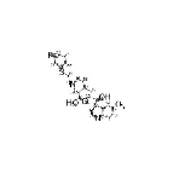 COc1ccc2nccc([C@H](O)CC[C@@H]3CCN(CCSc4cccc(F)c4)C[C@@H]3C(=O)O)c2c1